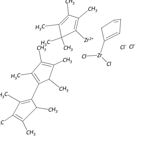 CC1=C(C)C(C)(C)[C]([Zr+2])=C1C.CC1=C(C)C(C)C(C2=C(C)C(C)=C(C)C2C)=C1C.[Cl-].[Cl-].[Cl][Zr]([Cl])[C]1=CC=CC1